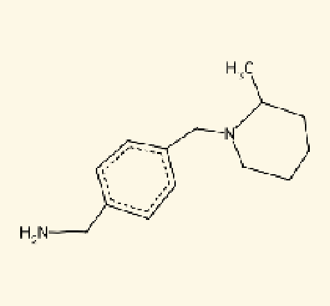 CC1CCCCN1Cc1ccc(CN)cc1